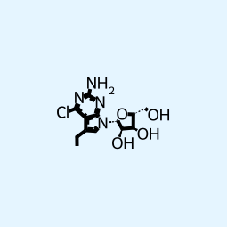 CCc1cn([C@@H]2O[C@H](CO)[C@@H](O)[C@H]2O)c2nc(N)nc(Cl)c12